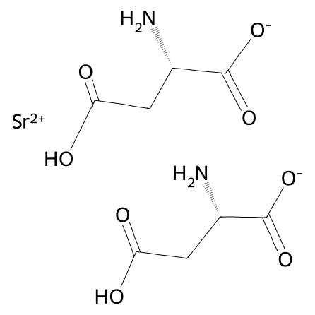 N[C@@H](CC(=O)O)C(=O)[O-].N[C@@H](CC(=O)O)C(=O)[O-].[Sr+2]